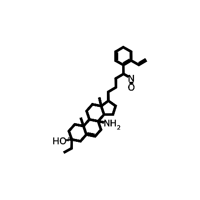 C=CC1=C(C(CCCC2CCC3C2(C)CCC2C4(C)CC[C@@](O)(CC)CC4=CCC23N)N=O)C=CCC1